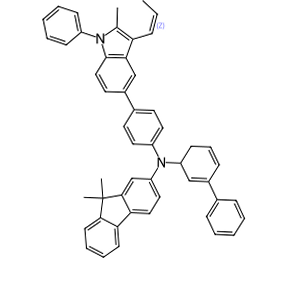 C/C=C\c1c(C)n(-c2ccccc2)c2ccc(-c3ccc(N(c4ccc5c(c4)C(C)(C)c4ccccc4-5)C4C=C(c5ccccc5)C=CC4)cc3)cc12